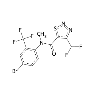 CN(C(=O)c1snnc1C(F)F)c1ccc(Br)cc1C(F)(F)F